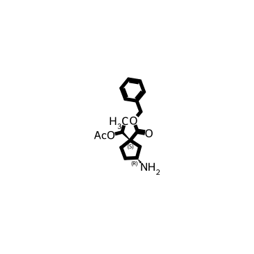 CC(=O)OC(C)[C@]1(C(=O)OCc2ccccc2)CC[C@@H](N)C1